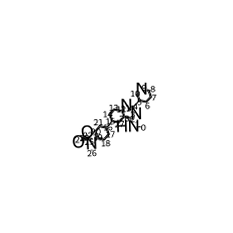 CNc1nc(-c2cccnc2)nc2ccc(-c3ccc4c(c3)oc(=O)n4C)cc12